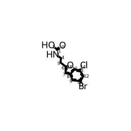 O=C(O)NCCc1cc2cc(Br)cc(Cl)c2o1